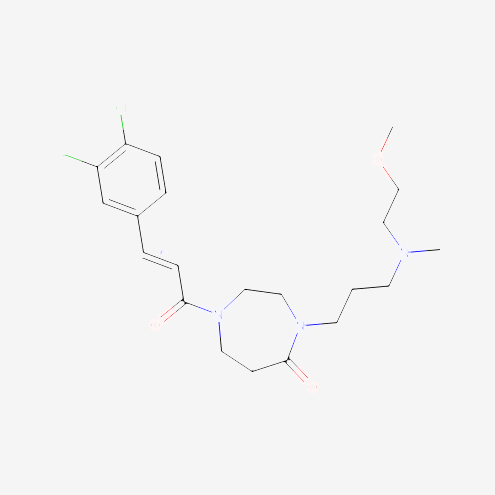 COCCN(C)CCCN1CCN(C(=O)/C=C/c2ccc(Cl)c(Cl)c2)CCC1=O